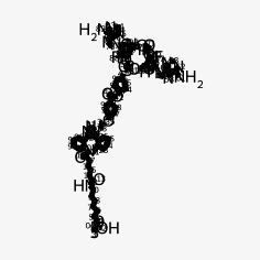 CP(O)(=S)OCCCCCCNC(=O)CCCCC(=O)N1Cc2ccccc2-c2c(nnn2CCOc2ccc(C(=O)Oc3ccc(CS[P@@]4(=O)OC[C@H]5O[C@@H](n6cnc7c(N)ncnc76)[C@H](F)[C@@H]5O[PH](=O)OC[C@H]5O[C@@H](n6cnc7c(N)ncnc76)[C@H](F)[C@@H]5O4)cc3)cc2)-c2ccccc21